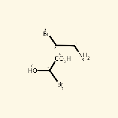 NCCBr.O=C(O)C(O)Br